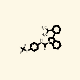 CC(C)c1ccccc1-c1cn(C(=O)Nc2ccc(OC(F)(F)F)cc2)c2ccccc12